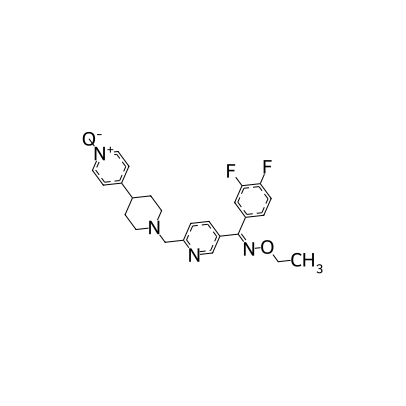 CCO/N=C(/c1ccc(CN2CCC(c3cc[n+]([O-])cc3)CC2)nc1)c1ccc(F)c(F)c1